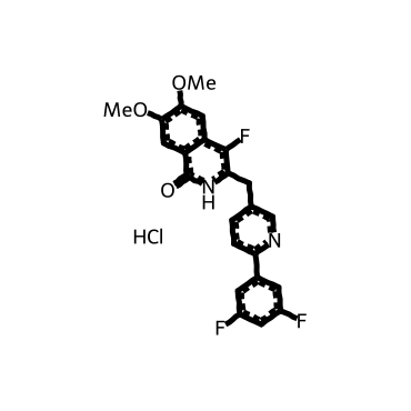 COc1cc2c(F)c(Cc3ccc(-c4cc(F)cc(F)c4)nc3)[nH]c(=O)c2cc1OC.Cl